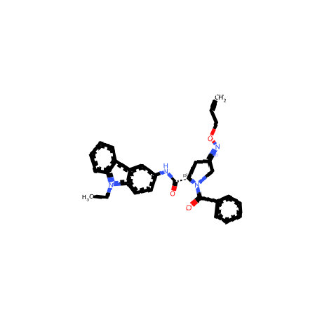 C=CCO/N=C1\C[C@@H](C(=O)Nc2ccc3c(c2)c2ccccc2n3CC)N(C(=O)c2ccccc2)C1